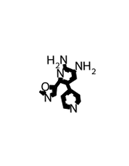 Nc1cc(-c2ccncc2)c(-c2cnco2)nc1N